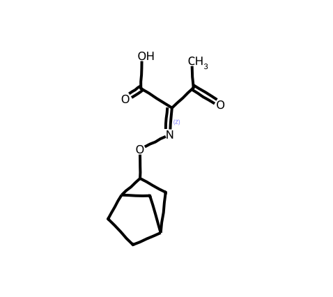 CC(=O)/C(=N/OC1CC2CCC1C2)C(=O)O